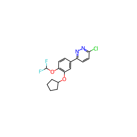 FC(F)Oc1ccc(-c2ccc(Cl)nn2)cc1OC1CCCC1